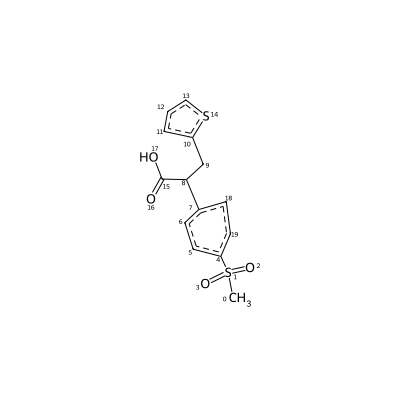 CS(=O)(=O)c1ccc(C(Cc2cccs2)C(=O)O)cc1